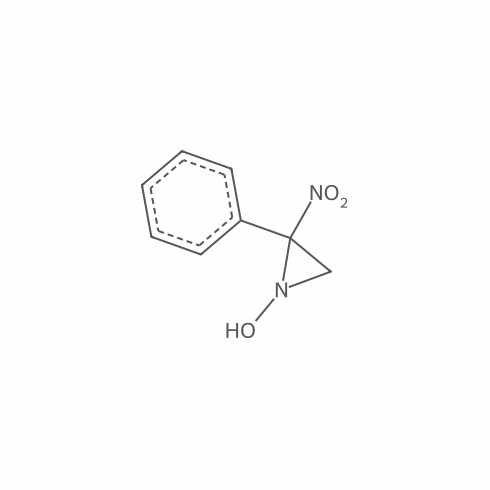 O=[N+]([O-])C1(c2ccccc2)CN1O